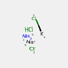 Cl.N.[Cl-].[Cl][K].[Na+]